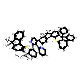 CC1(C)c2cc(-c3ccnc(-c4cccc5c4Sc4c(ccc6c4-c4ccccc4C6(C)C)[Si]5(C)C)c3-c3ccccn3)ccc2-c2c1ccc1c2Sc2ccccc2C1(c1ccccc1)c1ccccc1